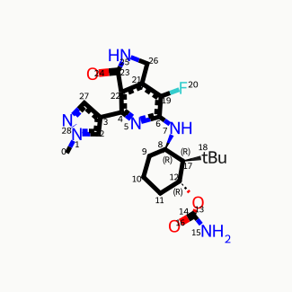 Cn1cc(-c2nc(N[C@@H]3CCC[C@@H](OC(N)=O)[C@@H]3C(C)(C)C)c(F)c3c2C(=O)NC3)cn1